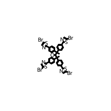 CC(C(=O)C(C)(c1ccc(-c2ncc(Br)s2)cc1)c1ccc(-c2ncc(Br)s2)cc1)(c1ccc(-c2ncc(Br)s2)cc1)c1ccc(-c2ncc(Br)s2)cc1